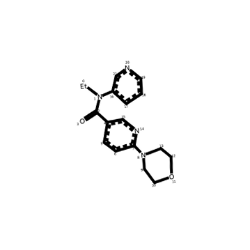 CCN(C(=O)c1ccc(N2CCOCC2)nc1)c1cccnc1